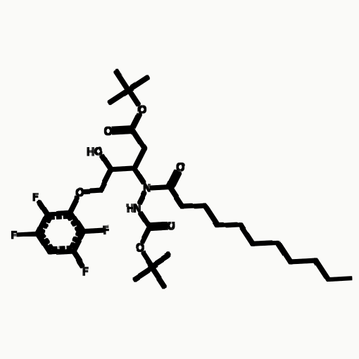 CCCCCCCCCCC(=O)N(NC(=O)OC(C)(C)C)C(CC(=O)OC(C)(C)C)C(O)COc1c(F)c(F)cc(F)c1F